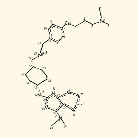 CN(C)CCCOc1ccc(CNC[C@H]2CC[C@@H](Nc3nc(N(C)C)c4ccccc4n3)CC2)cc1